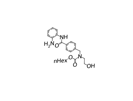 CCCCCCOC(=O)N(CCO)Cc1ccc(C(=O)Nc2ccccc2N)cc1